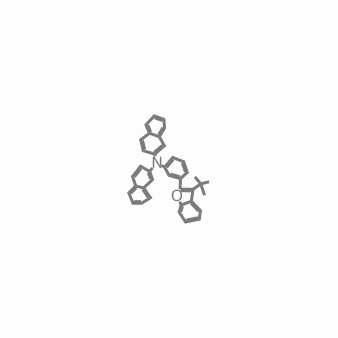 CC(C)(C)c1c(-c2cccc(N(c3ccc4ccccc4c3)c3ccc4ccccc4c3)c2)oc2ccccc12